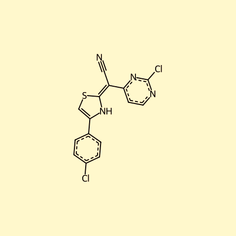 N#CC(=C1NC(c2ccc(Cl)cc2)=CS1)c1ccnc(Cl)n1